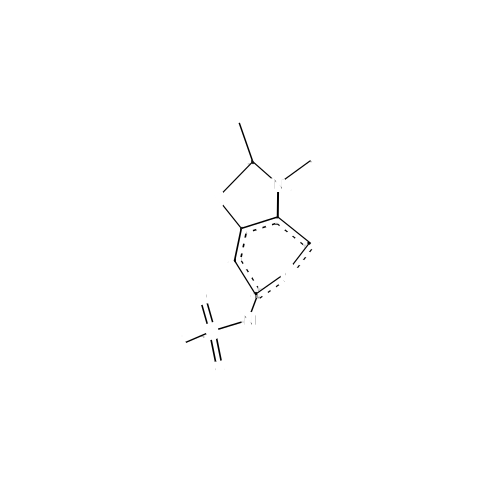 CC1Sc2cc(NS(C)(=O)=O)ccc2N1C